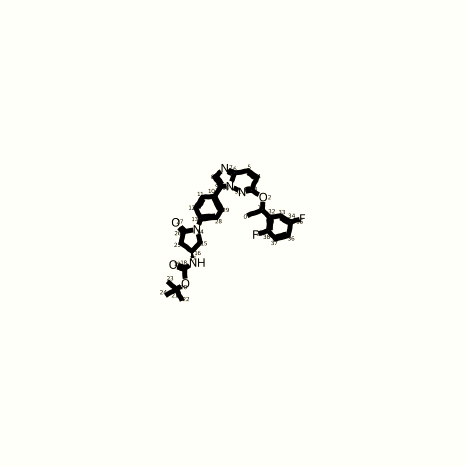 CC(Oc1ccc2ncc(-c3ccc(N4C[C@@H](NC(=O)OC(C)(C)C)CC4=O)cc3)n2n1)c1cc(F)ccc1F